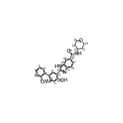 COc1ncccc1-c1ccc(O)c(-c2nc3ccc(C(=O)NC4CCOCC4)cc3[nH]2)c1